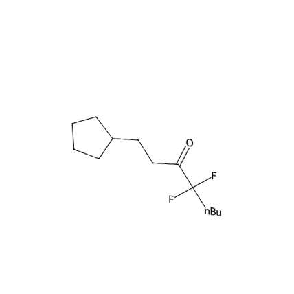 CCCCC(F)(F)C(=O)CCC1CCCC1